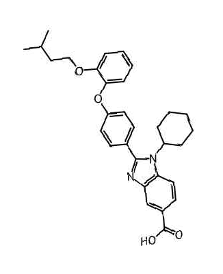 CC(C)CCOc1ccccc1Oc1ccc(-c2nc3cc(C(=O)O)ccc3n2C2CCCCC2)cc1